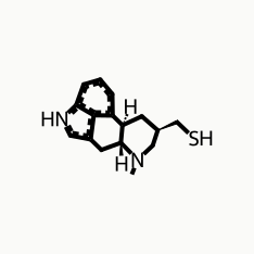 CN1C[C@H](CS)C[C@@H]2c3cccc4[nH]cc(c34)C[C@H]21